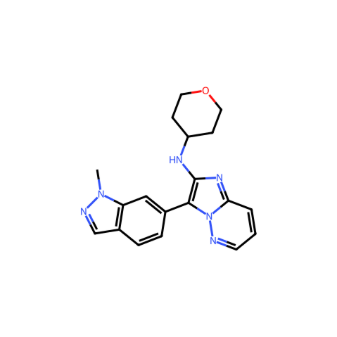 Cn1ncc2ccc(-c3c(NC4CCOCC4)nc4cccnn34)cc21